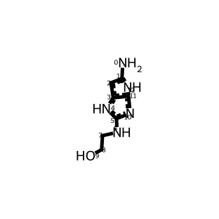 Nc1cc2[nH]c(NCCO)nc2[nH]1